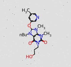 CCCCN1c2c(n(C)c(=O)n(CCCO)c2=O)N(C)C1Oc1cncc(C)c1